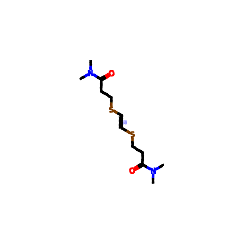 CN(C)C(=O)CCS/C=C/SCCC(=O)N(C)C